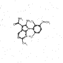 COc1ccc(C)c(-n2c(N)c(C(N)=O)c3cnc(C)nc32)c1Cl